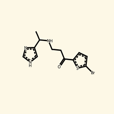 CC(NCCC(=O)c1ccc(Br)s1)c1c[nH]cn1